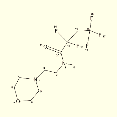 CN(CCN1CCOCC1)C(=O)C(F)(F)CC(F)(F)F